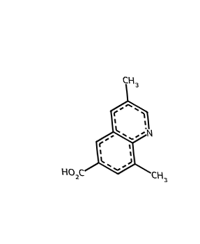 Cc1cnc2c(C)cc(C(=O)O)cc2c1